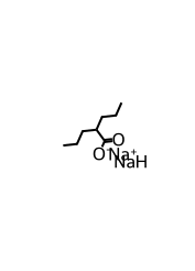 CCCC(CCC)C(=O)[O-].[Na+].[NaH]